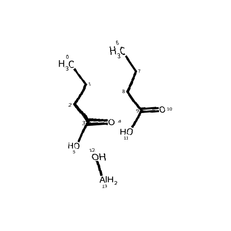 CCCC(=O)O.CCCC(=O)O.[OH][AlH2]